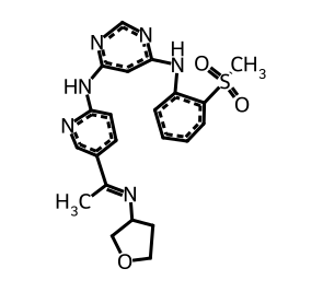 CC(=NC1CCOC1)c1ccc(Nc2cc(Nc3ccccc3S(C)(=O)=O)ncn2)nc1